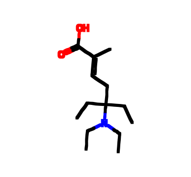 CCN(CC)C(CC)(CC)C/C=C(\C)C(=O)O